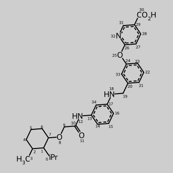 CC(C)C1C(C)CCCC1OCC(=O)Nc1cccc(NCc2cccc(Oc3ccc(C(=O)O)cn3)c2)c1